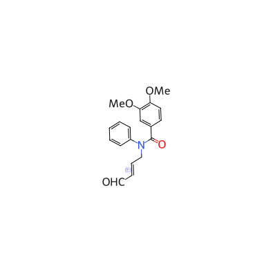 COc1ccc(C(=O)N(C/C=C/C=O)c2ccccc2)cc1OC